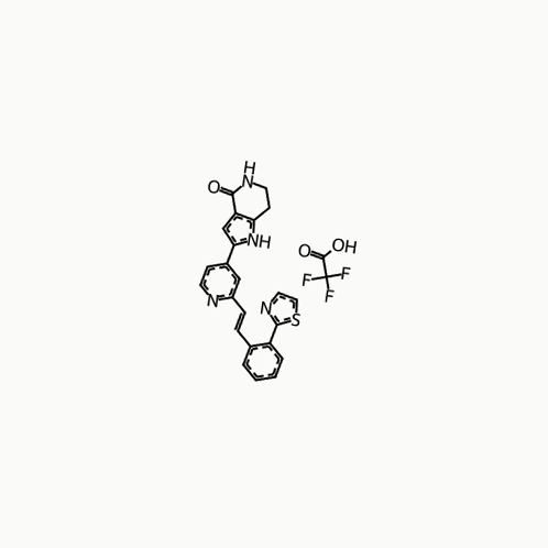 O=C(O)C(F)(F)F.O=C1NCCc2[nH]c(-c3ccnc(C=Cc4ccccc4-c4nccs4)c3)cc21